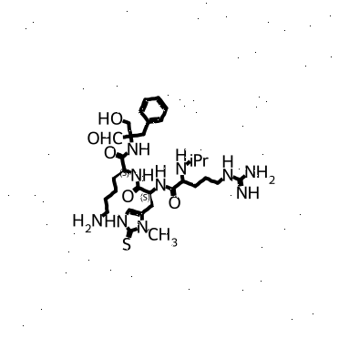 CC(C)NC(CCCNC(=N)N)C(=O)N[C@@H](Cc1c[nH]c(=S)n1C)C(=O)N[C@@H](CCCCN)C(=O)NC(C=O)(CO)Cc1ccccc1